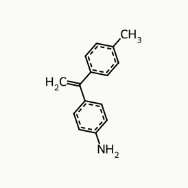 C=C(c1ccc(C)cc1)c1ccc(N)cc1